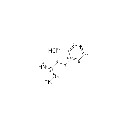 CCOC(=N)CCc1ccncc1.Cl